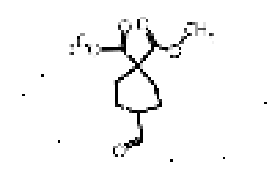 COC(=O)C1(C(=O)OC)CCC(C=O)CC1